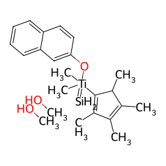 CC1=C(C)C(C)[C]([Ti]([CH3])([CH3])(=[SiH2])[O]c2ccc3ccccc3c2)=C1C.CO.CO